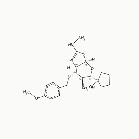 CNC1=N[C@@H]2[C@@H](OCc3ccc(OC)cc3)[C@H](C)[C@@H](C3(O)CCCC3)O[C@@H]2S1